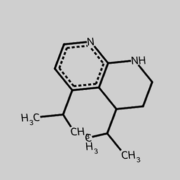 CC(C)c1ccnc2c1C(C(C)C)CCN2